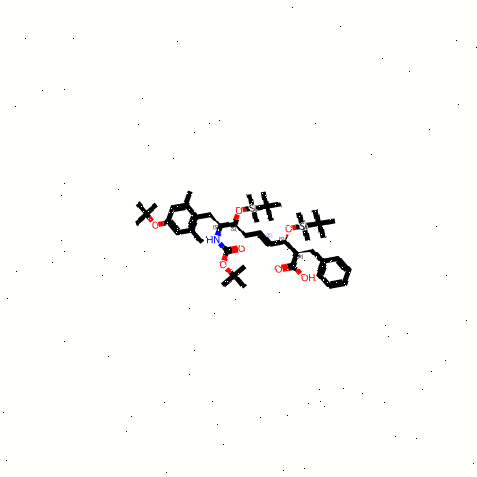 Cc1cc(OC(C)(C)C)cc(C)c1C[C@H](NC(=O)OC(C)(C)C)[C@H](C/C=C/[C@H](O[Si](C)(C)C(C)(C)C)[C@@H](Cc1ccccc1)C(=O)O)O[Si](C)(C)C(C)(C)C